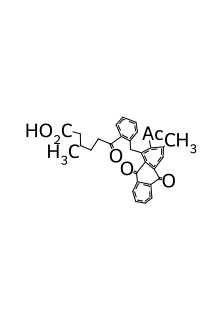 CC(=O)c1c(C)cc2c(c1Cc1ccccc1C(=O)CCC(C)CC(=O)O)C(=O)c1ccccc1C2=O